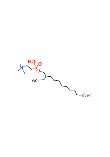 CCCCCCCCCCCCCCCCCCC(COP(=O)(O)CC[N+](C)(C)C)CC(C)=O